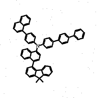 CC1(C)c2ccccc2-c2c(-c3ccc(N(c4ccc(-c5ccc(-c6ccccc6)cc5)cc4)c4ccc(-c5cccc6ccccc56)cc4)c4ccccc34)cccc21